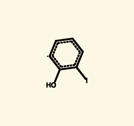 Oc1[c]cccc1I